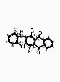 O=C1c2ccccc2C(=O)c2c(F)c(Nc3c(Cl)cccc3Cl)cc(F)c21